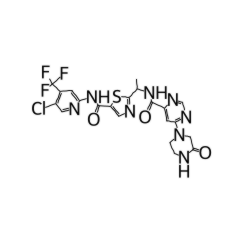 CC(NC(=O)c1cc(N2CCNC(=O)C2)ncn1)c1ncc(C(=O)Nc2cc(C(F)(F)F)c(Cl)cn2)s1